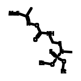 CCOP(=S)(OCC)N(C)SCNC(=O)O/N=C(\C)SC